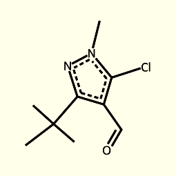 Cn1nc(C(C)(C)C)c(C=O)c1Cl